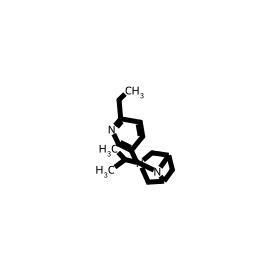 CCc1ccc(CN2C3CC2CN(C(C)C)C3)cn1